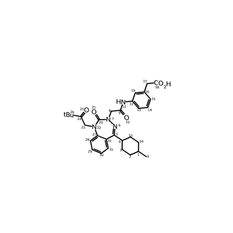 CC1CCC(C2=NN(CC(=O)Nc3cccc(CC(=O)O)c3)C(=O)N(CC(=O)C(C)(C)C)c3ccccc32)CC1